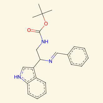 CC(C)(C)OC(=O)NCC(N=Cc1ccccc1)c1c[nH]c2ccccc12